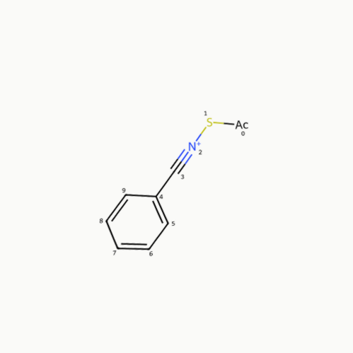 CC(=O)S[N+]#Cc1ccccc1